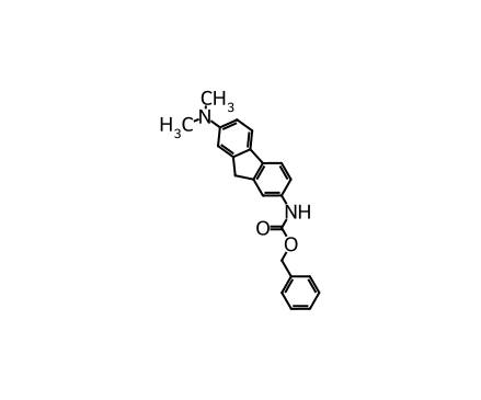 CN(C)c1ccc2c(c1)Cc1cc(NC(=O)OCc3ccccc3)ccc1-2